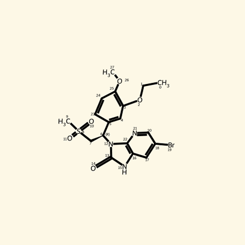 CCOc1cc([C@H](CS(C)(=O)=O)n2c(=O)[nH]c3cc(Br)cnc32)ccc1OC